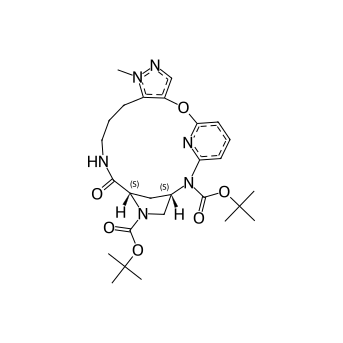 Cn1ncc2c1CCCNC(=O)[C@@H]1C[C@@H](CN1C(=O)OC(C)(C)C)N(C(=O)OC(C)(C)C)c1cccc(n1)O2